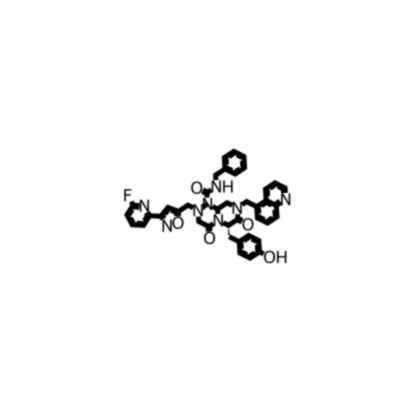 O=C1[C@H](Cc2ccc(O)cc2)N2C(=O)CN(Cc3cc(-c4cccc(F)n4)no3)N(C(=O)NCc3ccccc3)C2CN1Cc1cccc2ncccc12